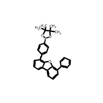 CC1(C)OB(c2ccc(-c3cccc4c3oc3c(-c5ccccc5)cccc34)cc2)OC1(C)C